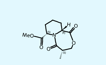 COC(=O)[C@@H]1CCC[C@@H]2C(=O)OC[C@H](C)C(=O)N21